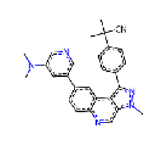 CN(C)c1cncc(-c2ccc3ncc4c(c(-c5ccc(C(C)(C)C#N)cc5)nn4C)c3c2)c1